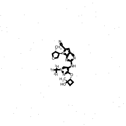 [2H]C([2H])([2H])n1cc(Nc2ncc3cc(C#N)n([C@H]4COC[C@@H]4C)c3n2)c(O[C@@H]2CC[C@]2(C)O)n1